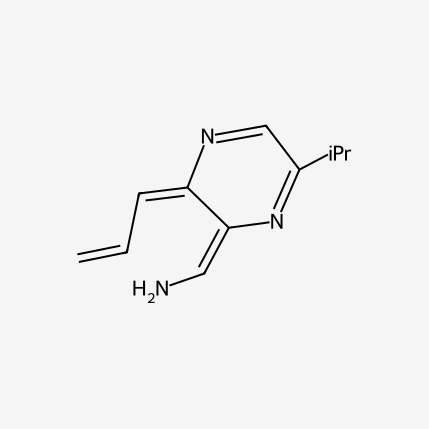 C=C/C=c1/ncc(C(C)C)n/c1=C/N